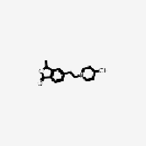 CC1OC(=O)c2ccc(CCN3CCC(O)CC3)cc21